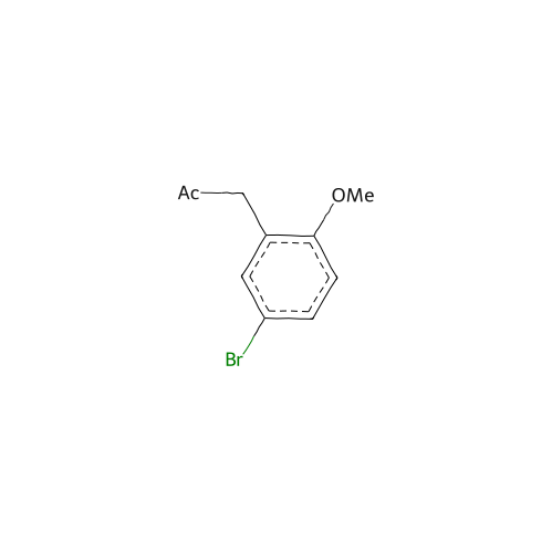 COc1ccc(Br)cc1CC(C)=O